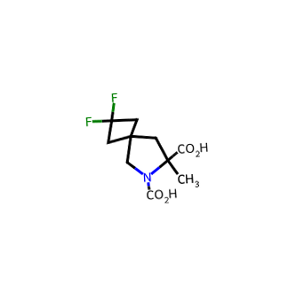 CC1(C(=O)O)CC2(CN1C(=O)O)CC(F)(F)C2